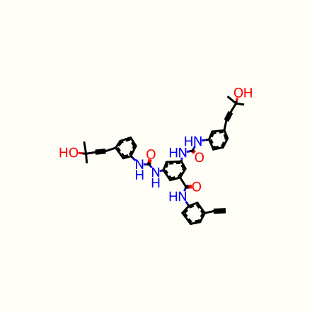 C#Cc1cccc(NC(=O)c2cc(NC(=O)Nc3cccc(C#CC(C)(C)O)c3)cc(NC(=O)Nc3cccc(C#CC(C)(C)O)c3)c2)c1